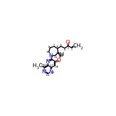 C=CC(=O)CCC1CCCN2C[C@H]1COc1cc3ncnc(C)c3nc12